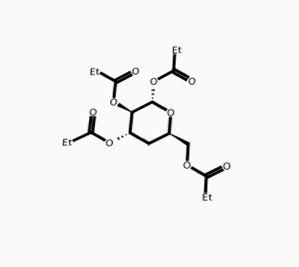 CCC(=O)OC[C@H]1[CH][C@H](OC(=O)CC)[C@@H](OC(=O)CC)[C@H](OC(=O)CC)O1